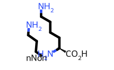 CCCCCCCCCCCCN.NCCCC[C@H](N)C(=O)O